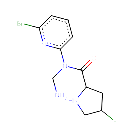 NCN(C(=O)C1CC(F)CN1)c1cccc(Br)n1